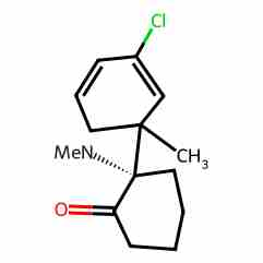 CN[C@]1(C2(C)C=C(Cl)C=CC2)CCCCC1=O